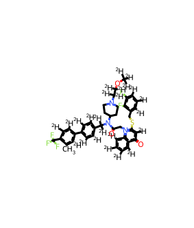 [2H]c1c([2H])c(F)c(F)c(CSc2c([2H])c(=O)c3c([2H])c([2H])c([2H])c([2H])c3n2CC(=O)N(C2CCN(C([2H])([2H])C([2H])([2H])OC([2H])([2H])[2H])CC2)C([2H])([2H])c2c([2H])c([2H])c(-c3c([2H])c([2H])c(C(F)(F)F)c(C)c3[2H])c([2H])c2[2H])c1[2H]